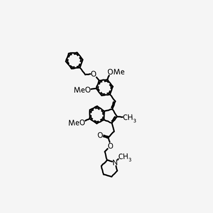 COc1ccc2c(c1)C(CC(=O)OCC1CCCCN1C)=C(C)/C2=C/c1cc(OC)c(OCc2ccccc2)c(OC)c1